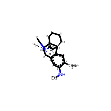 CCNc1cc2c(cc1OC)[C@@]13CCCC[C@H]1[C@H](C2)N(C)CC3